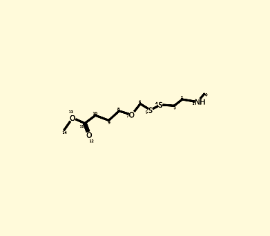 CNCCSSCOCCCC(=O)OC